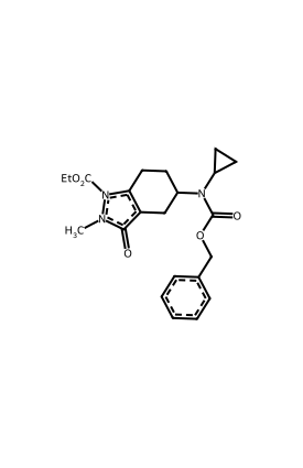 CCOC(=O)n1c2c(c(=O)n1C)CC(N(C(=O)OCc1ccccc1)C1CC1)CC2